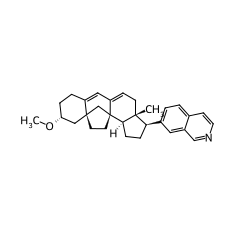 CO[C@@H]1CCC2=CC3=CC[C@]4(C)[C@@H](c5ccc6ccncc6c5)CC[C@H]4[C@@]34CC[C@]2(C1)C4